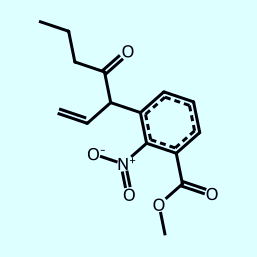 C=CC(C(=O)CCC)c1cccc(C(=O)OC)c1[N+](=O)[O-]